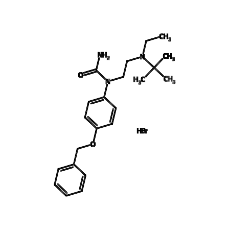 Br.CCN(CCN(C(N)=O)c1ccc(OCc2ccccc2)cc1)C(C)(C)C